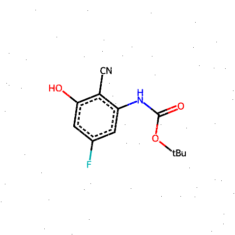 CC(C)(C)OC(=O)Nc1cc(F)cc(O)c1C#N